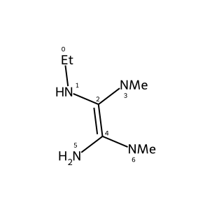 CCN/C(NC)=C(\N)NC